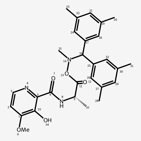 COc1ccnc(C(=O)N[C@@H](C)C(=O)ON(C)C(c2cc(C)cc(C)c2)c2cc(C)cc(C)c2)c1O